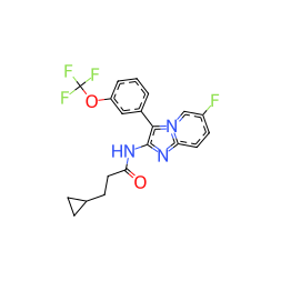 O=C(CCC1CC1)Nc1nc2ccc(F)cn2c1-c1cccc(OC(F)(F)F)c1